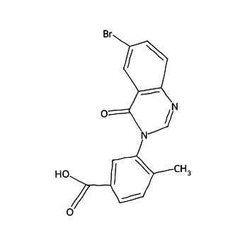 Cc1ccc(C(=O)O)cc1-n1cnc2ccc(Br)cc2c1=O